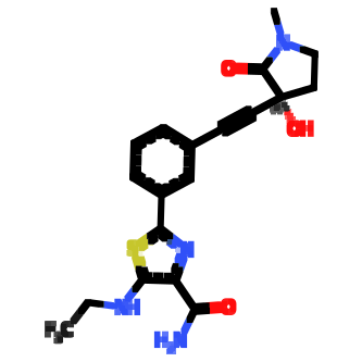 CN1CC[C@@](O)(C#Cc2cccc(-c3nc(C(N)=O)c(NCC(F)(F)F)s3)c2)C1=O